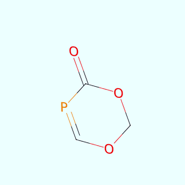 O=C1OCOC=P1